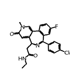 CCNC(=O)CC1N=C(c2ccc(Cl)cc2)c2cc(F)ccc2-c2cn(C)c(=O)cc21